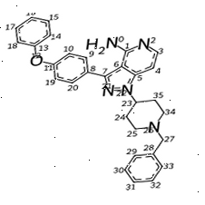 Nc1nccc2c1c(-c1ccc(Oc3ccccc3)cc1)nn2C1CCN(Cc2ccccc2)CC1